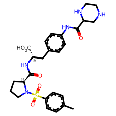 Cc1ccc(S(=O)(=O)N2CCC[C@H]2C(=O)N[C@@H](Cc2ccc(NC(=O)C3CNCCN3)cc2)C(=O)O)cc1